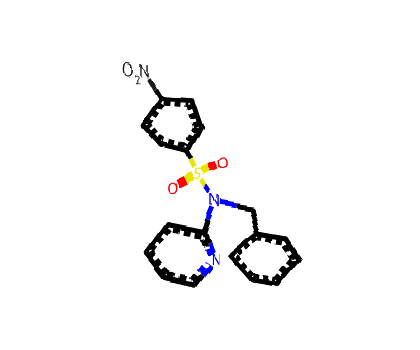 O=[N+]([O-])c1ccc(S(=O)(=O)N(Cc2ccccc2)c2ccccn2)cc1